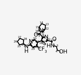 O=C(NCCO)c1nc(C(=O)N2C3CCC2CC3)c(-c2cnc(NC3CCCC3)cc2C(F)(F)F)s1